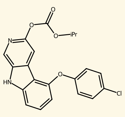 CC(C)OC(=O)Oc1cc2c(cn1)[nH]c1cccc(Oc3ccc(Cl)cc3)c12